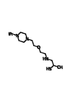 CC(S)CNCCOCCN1CCN(C(C)C)CC1